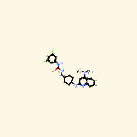 CN(C)c1cc(NC2CCC(CNC(=O)Nc3cc(F)cc(F)c3)CC2)nc2ccccc12